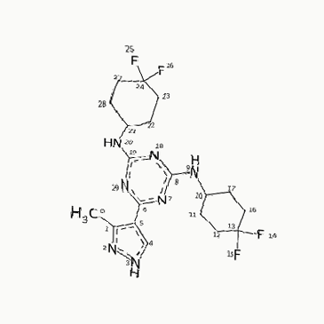 Cc1n[nH]cc1-c1nc(NC2CCC(F)(F)CC2)nc(NC2CCC(F)(F)CC2)n1